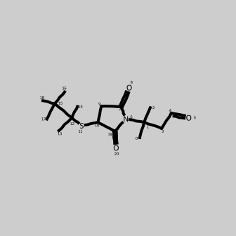 CC(C)(CC=O)N1C(=O)CC(SC(C)(C)C(C)(C)C)C1=O